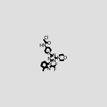 Cc1cccc2c1nc(C(F)F)n2-c1nc(N2CCOCC2)nc(N2CCC(NC(=O)CCl)CC2)n1